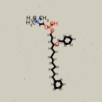 C[N+](C)(C)CCOP(O)OCCCC(CCCCCCCCCc1ccccc1)OCc1ccccc1